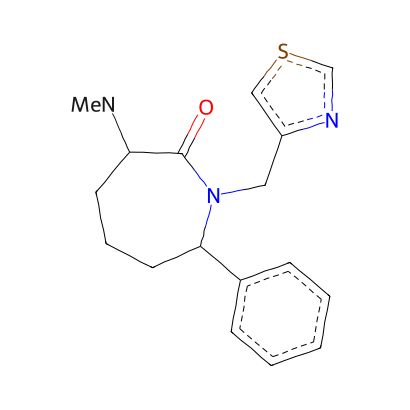 CNC1CCCC(c2ccccc2)N(Cc2cscn2)C1=O